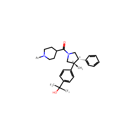 CC(=O)N1CCC(C(=O)N2C[C@H](c3ccccc3)[C@](C)(c3ccc(C(O)(C(F)(F)F)C(F)(F)F)cc3)C2)CC1